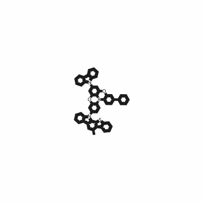 Cc1cc2c3ccccc3n(-c3ccc4c(c3)Oc3cc(-n5c6ccccc6c6ccccc65)cc5c3B4c3ccc(-c4ccccc4)cc3O5)c2c2sc3ccccc3c12